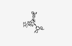 C=CC(=O)N1CC(N2CC(N)=C(/C(N)=N\C)C(C#Cc3cc(OCC)cc(OCC)c3)=N2)C1